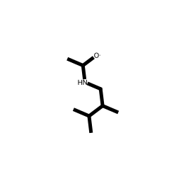 CC([O])NCC(C)C(C)C